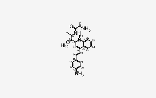 CC(N)C(=O)NC(C)C(=O)C1C=C(C=Cc2ccc(N)cc2)c2ccccc2N1C.I